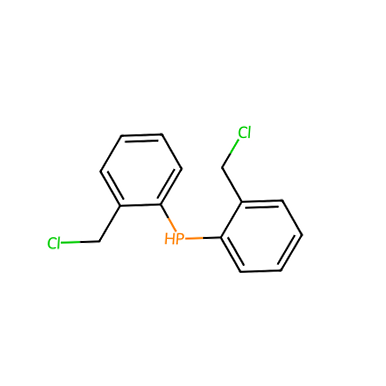 ClCc1ccccc1Pc1ccccc1CCl